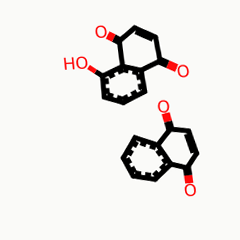 O=C1C=CC(=O)c2c(O)cccc21.O=C1C=CC(=O)c2ccccc21